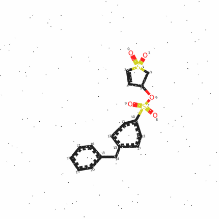 O=S1(=O)C=CC(OS(=O)(=O)c2ccc(Cc3ccccc3)cc2)C1